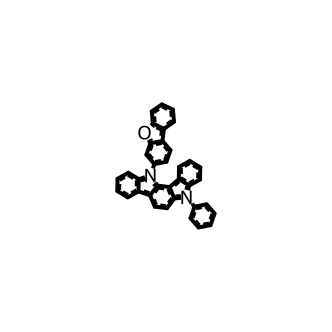 c1ccc(-n2c3ccccc3c3c2ccc2c4ccccc4n(-c4ccc5c(c4)oc4ccccc45)c23)cc1